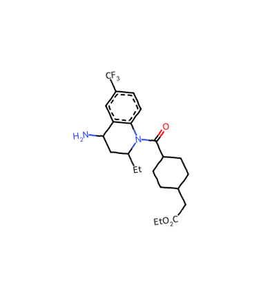 CCOC(=O)CC1CCC(C(=O)N2c3ccc(C(F)(F)F)cc3C(N)CC2CC)CC1